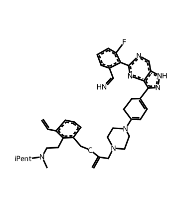 C=Cc1cccc(CCC(=C)CN2CCN(C3=CC=C(c4n[nH]c5cnc(-c6c(F)cccc6C=N)nc45)CC3)CC2)c1CCN(C)C(C)CCC